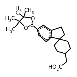 CC1(C)OB(c2ccc3c(c2)CCC32CCC(CC(=O)O)CC2)OC1(C)C